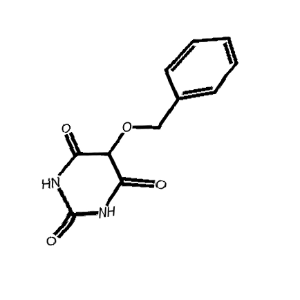 O=C1NC(=O)C(OCc2ccccc2)C(=O)N1